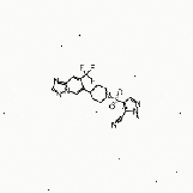 Cn1ncc(S(=O)(=O)N2CCC(c3cn4ncnc4cc3C(F)(F)F)CC2)c1C#N